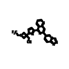 N#CCC1(n2ccc(-c3nc(-c4ccc5nncn5c4)cc4ncccc34)n2)CN(CC(F)(F)F)C1